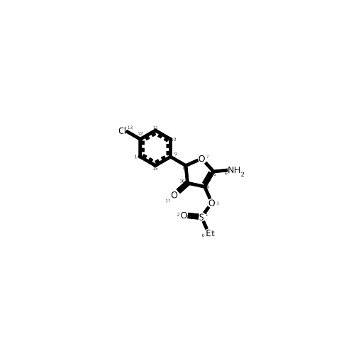 CCS(=O)OC1=C(N)OC(c2ccc(Cl)cc2)C1=O